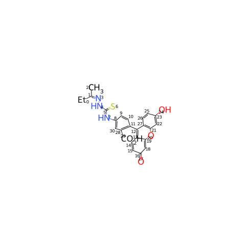 CC/C(C)=N\NC(=S)Nc1ccc(-c2c3ccc(=O)cc-3oc3cc(O)ccc23)c(C(=O)O)c1